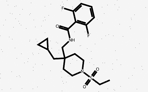 CCS(=O)(=O)N1CCC(CNC(=O)c2c(F)cccc2F)(CC2CC2)CC1